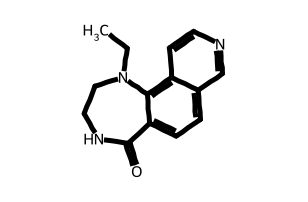 CCN1CCNC(=O)c2ccc3cnccc3c21